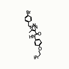 Cc1c(C(=O)Nc2ccc(OCCC(C)C)cc2)nnn1Cc1ccc(Br)cc1